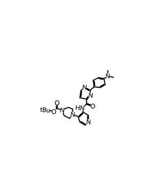 CN(C)c1ccc(-c2nccc(C(=O)Nc3cnccc3N3CCN(C(=O)OC(C)(C)C)CC3)n2)cc1